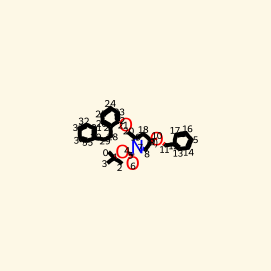 CC(C)(C)OC(=O)N1C[C@H](OCc2ccccc2)CC1COc1ccccc1CCc1ccccc1